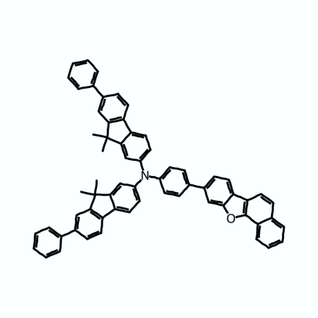 CC1(C)c2cc(-c3ccccc3)ccc2-c2ccc(N(c3ccc(-c4ccc5c(c4)oc4c6ccccc6ccc54)cc3)c3ccc4c(c3)C(C)(C)c3cc(-c5ccccc5)ccc3-4)cc21